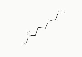 CC(C)NCCCOCC(C)(C)C